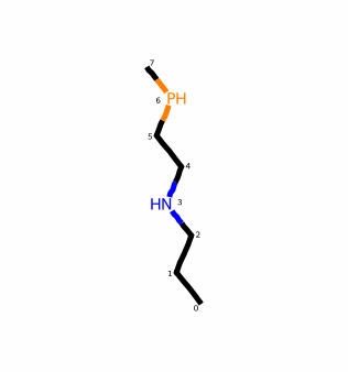 CCCNCCPC